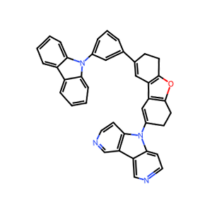 C1=C(c2cccc(-n3c4ccccc4c4ccccc43)c2)CCc2oc3c(c21)C=C(n1c2ccncc2c2cnccc21)CC3